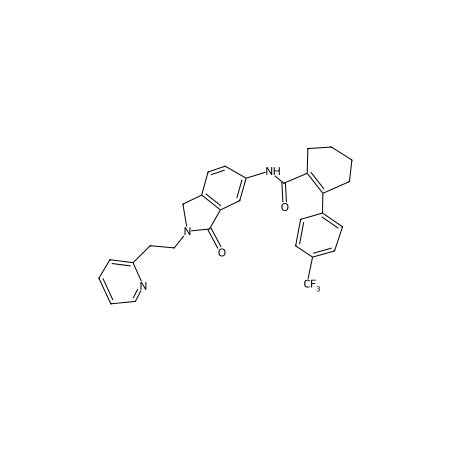 O=C(Nc1ccc2c(c1)C(=O)N(CCc1ccccn1)C2)C1=C(c2ccc(C(F)(F)F)cc2)CCCC1